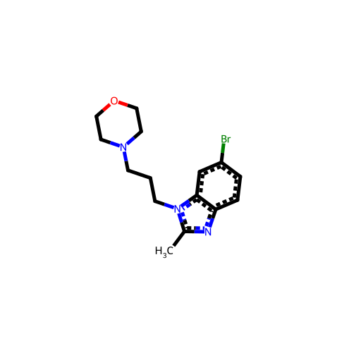 Cc1nc2ccc(Br)cc2n1CCCN1CCOCC1